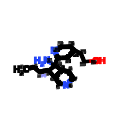 C=C/C=C1/c2cnccc2C1(N)c1cc(CCO)ccn1